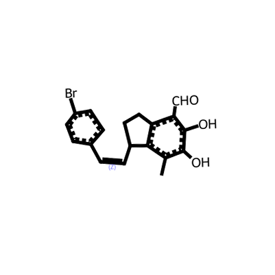 Cc1c(O)c(O)c(C=O)c2c1C(/C=C\c1ccc(Br)cc1)CC2